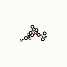 CC1(C)c2ccccc2N(c2ccc3c(c2)c2ccc4c5ccccc5n(-c5ccccc5)c4c2n3-c2ccc(S(=O)(=O)c3ccc(C#N)cc3)cc2)c2ccccc21